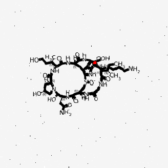 CC[C@H](C)[C@@H]1NC(=O)CNC(=O)[C@@H]2Cc3c([nH]c4c(CSCCCN)c(O)ccc34)[S+]([O-])C[C@H](NC(=O)CNC1=O)C(=O)N[C@@H](CC(N)=O)C(O)N1C[C@H](O)C[C@H]1C(=O)N[C@@H]([C@@H](C)CCO)C(=O)N2